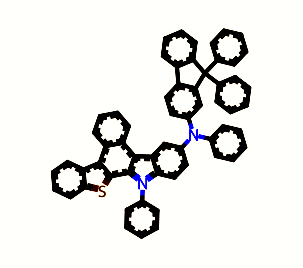 c1ccc(N(c2ccc3c(c2)C(c2ccccc2)(c2ccccc2)c2ccccc2-3)c2ccc3c(c2)c2c4ccccc4c4c5ccccc5sc4c2n3-c2ccccc2)cc1